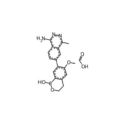 COc1cc2c(cc1-c1ccc3c(N)nnc(C)c3c1)B(O)OCC2.O=CO